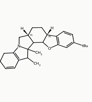 CC1C2=C(CCC=C2)N2C[C@@H]3CC[C@@H]4c5ccc(C(C)(C)C)cc5OC4C3C12C